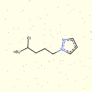 CCCCC(CC)CCCn1cccn1